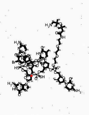 Cc1cn([C@H]2C[C@@H](OP(=S)(OCCOCCOCCNC(=O)CC(C)(C)OC(C)(C)CN)OCC3O[C@@H](n4ccc(N)nc4=O)C[C@H]3C)C(COP(=O)(S)O[C@@H]3C[C@H](n4cnc5c(=O)[nH]c(N)nc54)OC3COP(=O)(S)O[C@@H]3C[C@H](n4ccc(N)nc4=O)OC3COP(=O)(S)O[C@@H]3C[C@H](n4cc(Br)c(=O)[nH]c4=O)OC3CO)O2)c(=O)[nH]c1=O